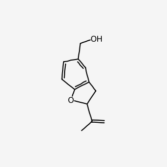 C=C(C)C1Cc2cc(CO)ccc2O1